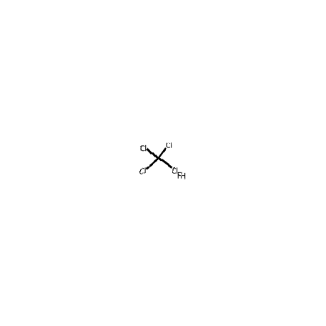 ClC(Cl)(Cl)Cl.F